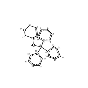 C1=CN(OC(c2ccccc2)(c2ccccc2)c2ccccc2)COC1